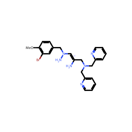 COc1ccc(CN(N)/C=C(\N)CN(Cc2ccccn2)Cc2ccccn2)cc1Br